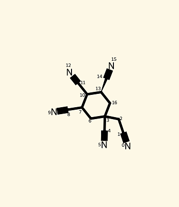 N#CCC1(C#N)CC(C#N)C(C#N)[C@@H](C#N)C1